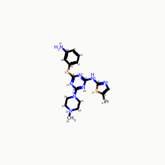 CC(C)c1cnc(Nc2nc(Sc3cccc(N)c3)nc(N3CCN(C)CC3)n2)s1